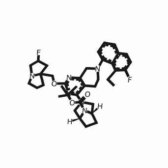 CCc1c(F)ccc2cccc(N3CCc4c(nc(OCC56CCCN5CC(F)C6)nc4N4C[C@H]5CC[C@@H](C4)N5C(=O)OC(C)(C)C)C3)c12